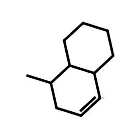 CC1CC=[C]C2CCCCC12